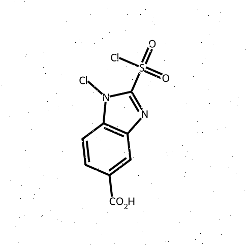 O=C(O)c1ccc2c(c1)nc(S(=O)(=O)Cl)n2Cl